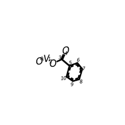 [O]=[V][O]C(=O)c1ccccc1